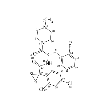 CN1CCN(C(=O)[C@H](Cc2ccccc2F)NC(=O)C2(c3ccc(Cl)cc3Cl)CC2)CC1